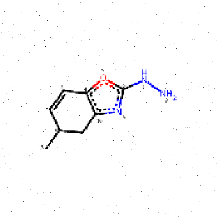 CC1C=Cc2oc(NN)nc2C1